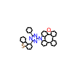 c1ccc(-c2nc(-c3cccc4sc5ccccc5c34)nc(-n3c4cccc5c6ccccc6c6cccc7oc8ccc3c(c8c76)c54)n2)cc1